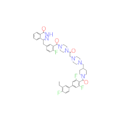 CCc1cc(-c2cc(F)c(C(=O)N3CCC(CN4CCN(CC(=O)N5CCN(C(=O)c6cc(Cc7n[nH]c(=O)c8ccccc78)ccc6F)CC5)CC4)CC3)c(F)c2)ccc1F